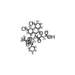 CC[C@@H](CN(c1ccccc1)S(=O)(=O)C1CC1)N1C(=O)[C@H](CC(=O)O)O[C@H](c2cccc(Cl)c2)C1c1ccc(Cl)cc1